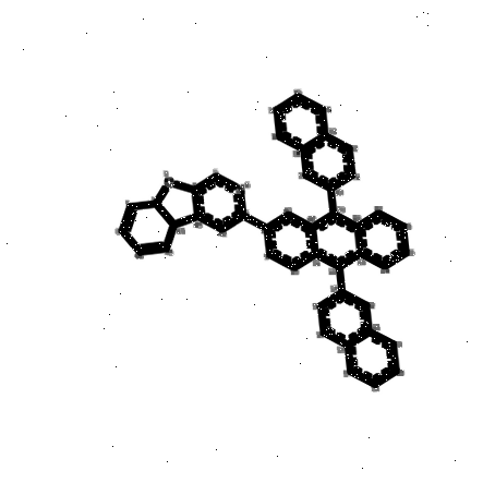 C1=CC2Oc3cnc(-c4ccc5c(-c6ccc7ccccc7c6)c6ccccc6c(-c6ccc7ccccc7c6)c5c4)cc3C2C=C1